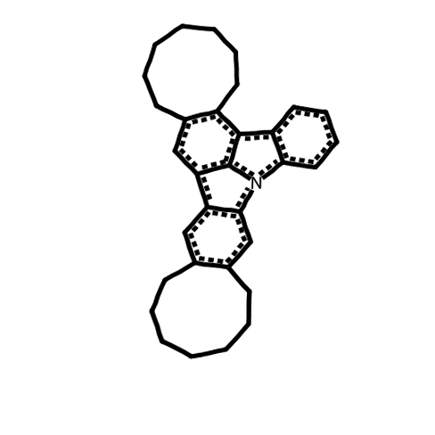 c1ccc2c(c1)c1c3c(cc4c5cc6c(cc5n2c41)CCCCCCC6)CCCCCCC3